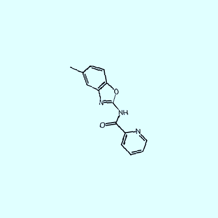 Cc1ccc2oc(NC(=O)c3ccccn3)nc2c1